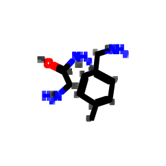 Cc1ccc(CN)cc1.NCC(N)=O